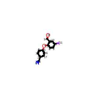 N#Cc1ccc(Oc2ccc(I)cc2C=O)cc1